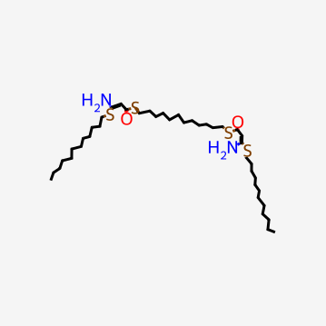 CCCCCCCCCCCCSC(N)=CC(=O)SCCCCCCCCCCCCSC(=O)C=C(N)SCCCCCCCCCCCC